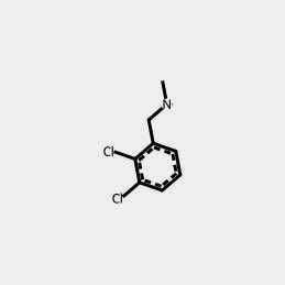 C[N]Cc1cccc(Cl)c1Cl